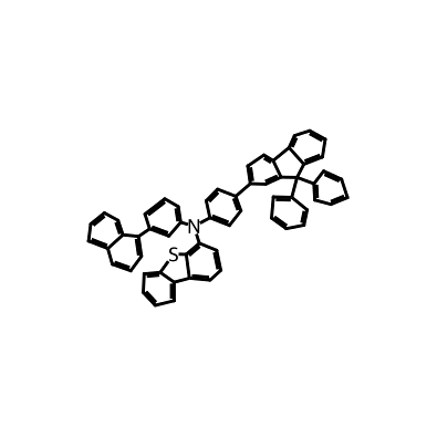 c1ccc(C2(c3ccccc3)c3ccccc3-c3ccc(-c4ccc(N(c5cccc(-c6cccc7ccccc67)c5)c5cccc6c5sc5ccccc56)cc4)cc32)cc1